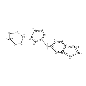 c1cc(Nc2ccc3[nH]ncc3c2)nc(N2CCNCC2)n1